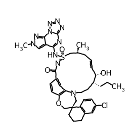 CCC[C@@H]1CCN2C[C@@]3(CCCc4cc(Cl)ccc43)COc3ccc(cc32)C(=O)N=S(=O)(Nc2nc3nnnn3c3nn(C)cc23)C[C@@H](C)C/C=C/[C@@H]1O